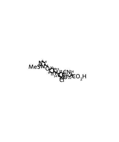 CSc1nccc(COc2ccc(C(C)(C)c3cc(Cl)c(OCCC(C)C(=O)O)c(C#N)c3)cc2)n1